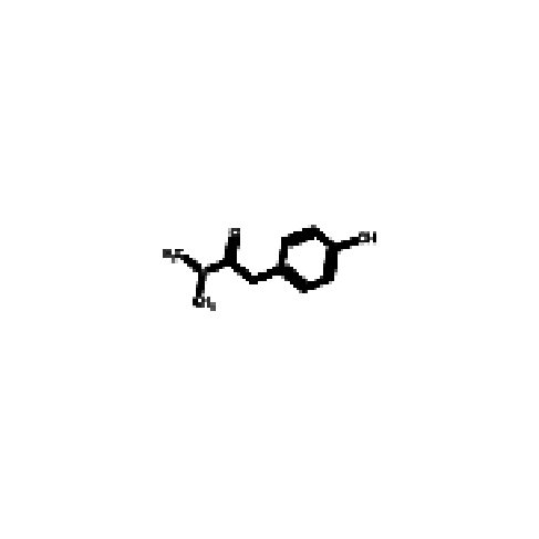 CN(C)C(=O)Cc1ccc(O)cc1